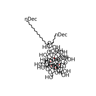 CCCCCCCCCCCCC/C=C/[C@@H](O)[C@H](CO[C@@H]1OC(CO)[C@@H](O[C@@H]2OC(CO)[C@H](O)[C@H](O[C@H]3OC(CO)[C@H](O)[C@H](O[C@@H]4OC(CO)[C@H](O)[C@H](O[C@@H]5OC(CO)[C@H](O)[C@H](O[C@H]6OC(CO)[C@H](O)[C@H](O)C6O)C5O[C@H]5OC(C)[C@@H](O)C(O)[C@@H]5O)C4NC(C)=O)C3O)C2O)[C@H](O)C1O)NC(=O)CCCCCCCCCCCCCCCCCCCCCCCCC